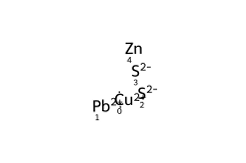 [Cu+2].[Pb+2].[S-2].[S-2].[Zn]